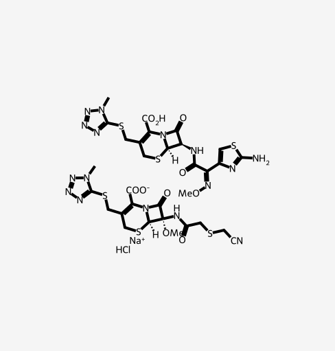 CO/N=C(\C(=O)N[C@@H]1C(=O)N2C(C(=O)O)=C(CSc3nnnn3C)CS[C@H]12)c1csc(N)n1.CO[C@@]1(NC(=O)CSCC#N)C(=O)N2C(C(=O)[O-])=C(CSc3nnnn3C)CS[C@@H]21.Cl.[Na+]